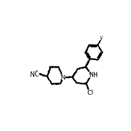 N#CC1CCN(C2CC(Cl)NC(c3ccc(F)cc3)C2)CC1